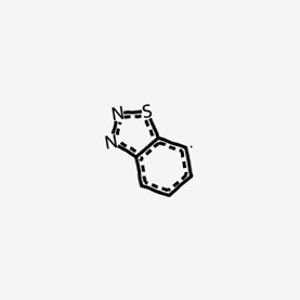 [c]1cccc2nnsc12